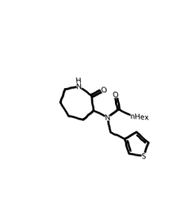 CCCCCCC(=O)N(Cc1ccsc1)C1CCCCNC1=O